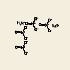 O=[N+]([O-])[O-].O=[N+]([O-])[O-].O=[N+]([O-])[O-].O=[N+]([O-])[O-].[La+3].[NH4+]